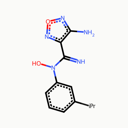 CC(C)c1cccc(N(O)C(=N)c2nonc2N)c1